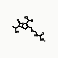 CC(O)C1C(=O)N2C(C(=O)O)=C(COCNC(N)=O)CC12